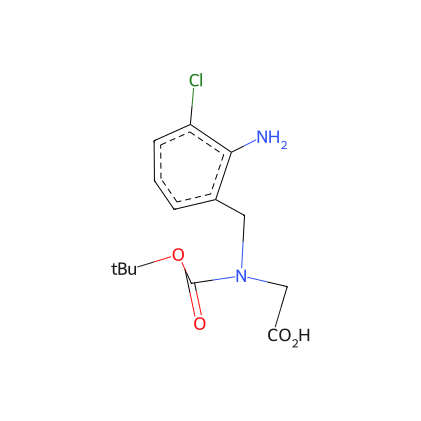 CC(C)(C)OC(=O)N(CC(=O)O)Cc1cccc(Cl)c1N